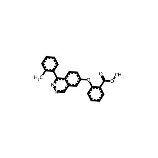 COC(=O)c1ccccc1Oc1ccc2c(-c3ccccc3C)nncc2c1